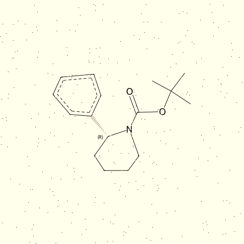 CC(C)(C)OC(=O)N1CCCC[C@@H]1c1ccccc1